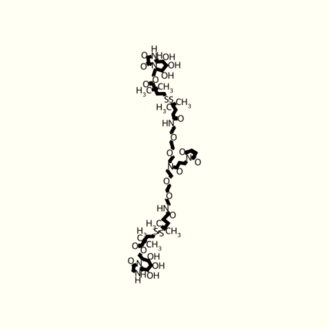 CC(C)(CCC(=O)NCCOCCOCCN(CCOCCOCCNC(=O)CCC(C)(C)SSCCC(C)(C)C(=O)OCC1[C@H](O)[C@@H](O)[C@@H](O)[C@@H]2NCC(=O)N12)C(=O)CCN1C(=O)C=CC1=O)SSCCC(C)(C)C(=O)OCC1[C@@H](O)[C@H](O)[C@H](O)[C@H]2NC(=O)C(=O)N12